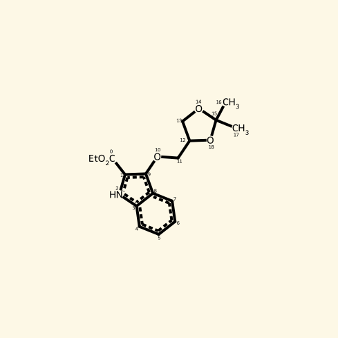 CCOC(=O)c1[nH]c2ccccc2c1OCC1COC(C)(C)O1